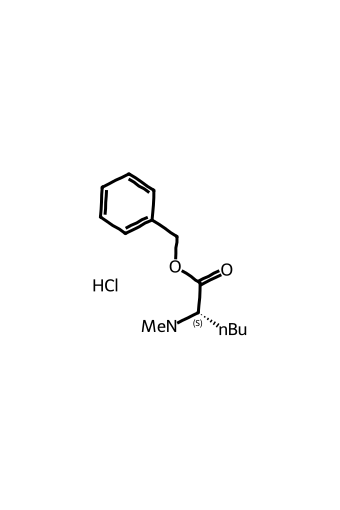 CCCC[C@H](NC)C(=O)OCc1ccccc1.Cl